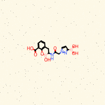 O=C(Cn1ccc(B(O)O)n1)NC1Cc2cccc(C(=O)O)c2OB1O